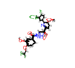 COc1cc(C(=O)NCC(=O)c2ccc(OC)c(-c3ccc(F)c(Cl)c3)n2)ccc1OCC(F)F